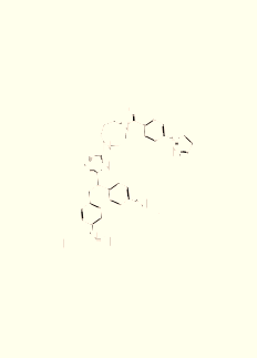 CN(C)c1ccc(CC(c2ccc(N)cc2)c2nsc(N3CCCN(C(=O)c4ccc(-n5cccn5)cc4)CC3)n2)cc1